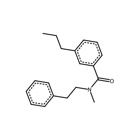 CCCc1cccc(C(=O)N(C)CCc2ccccc2)c1